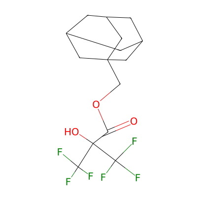 O=C(OCC12CC3CC(CC(C3)C1)C2)C(O)(C(F)(F)F)C(F)(F)F